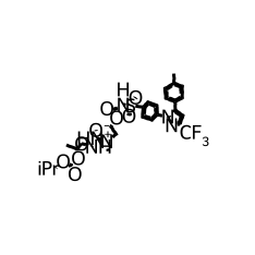 Cc1ccc(-c2cc(C(F)(F)F)nn2-c2ccc(S(=O)(=O)NC(=O)OCCN(C)[NH+]([O-])NOC(C)OC(=O)OC(C)C)cc2)cc1